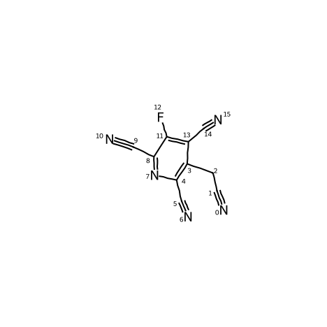 N#CCc1c(C#N)nc(C#N)c(F)c1C#N